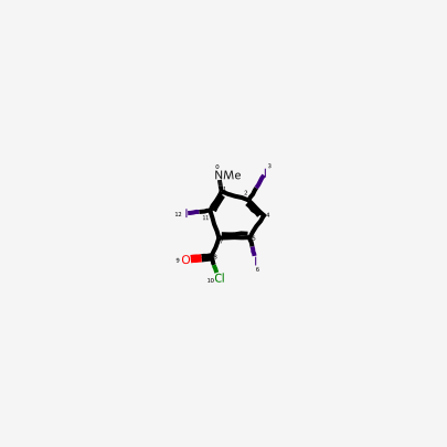 CNc1c(I)cc(I)c(C(=O)Cl)c1I